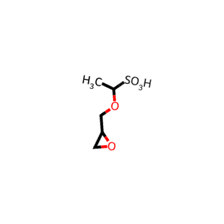 CC(OCC1CO1)S(=O)(=O)O